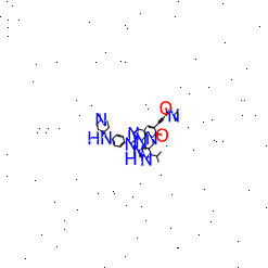 CC(C)c1ncncc1Cn1c(=O)c(C#CC(=O)N(C)C)cc2cnc(Nc3ccc(NC4CCN(C)CC4)cc3)nc21